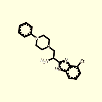 CCc1cccc2[nH]c(C(N)CN3CCN(c4ccccc4)CC3)nc12